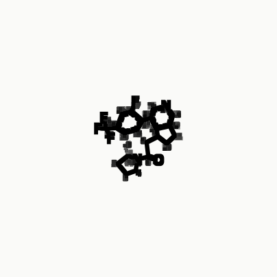 C[C@H]1CCCN1C(=O)CC1CCc2cncc(-c3ccc(C(F)(F)F)cc3F)c21